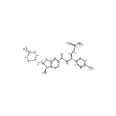 CC[C@@H]1c2ccc(C(=O)N[C@@H](COC(N)=O)c3ccc(C)cc3)cc2CN1C[C@H]1CC[C@H](C)CC1